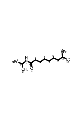 CCCCC(C)NC(=O)CCCCCCC(CC)CCC